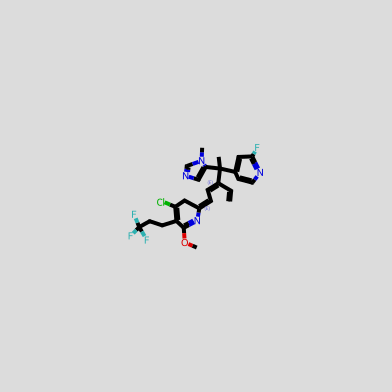 C=C/C(=C\C=C1/CC(Cl)=C(CCC(F)(F)F)C(OC)=N1)C(C)(c1ccnc(F)c1)c1cncn1C